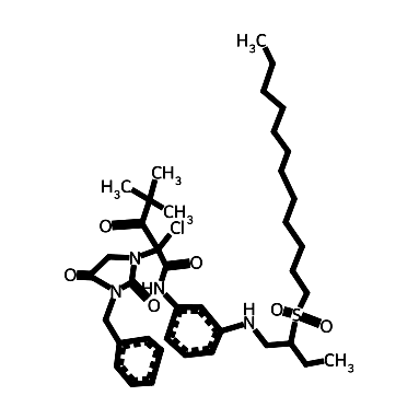 CCCCCCCCCCCCS(=O)(=O)C(CC)CNc1cccc(NC(=O)C(Cl)(C(=O)C(C)(C)C)N2CC(=O)N(Cc3ccccc3)C2=O)c1